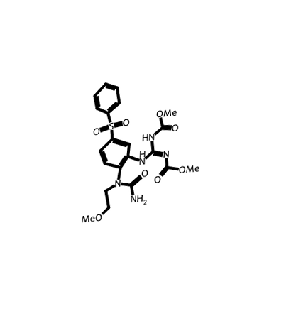 COCCN(C(N)=O)c1ccc(S(=O)(=O)c2ccccc2)cc1NC(=NC(=O)OC)NC(=O)OC